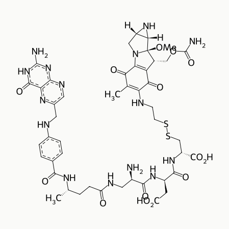 CO[C@@]12[C@H](COC(N)=O)C3=C(C(=O)C(C)=C(NCCSSC[C@@H](NC(=O)[C@@H](CC(=O)O)NC(=O)[C@H](N)CNC(=O)CC[C@H](C)NC(=O)c4ccc(NCc5cnc6nc(N)[nH]c(=O)c6n5)cc4)C(=O)O)C3=O)N1C[C@@H]1N[C@@H]12